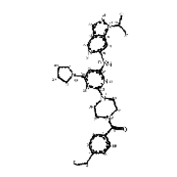 CCc1ccc(C(=O)N2CCN(c3nc(Nc4cc5c(cn4)cnn5C(C)C)cc(N4CCCC4)n3)CC2)cc1